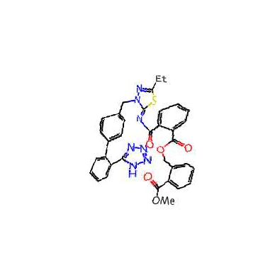 CCc1nn(Cc2ccc(-c3ccccc3-c3nnn[nH]3)cc2)c(=NC(=O)c2ccccc2C(=O)OCc2ccccc2C(=O)OC)s1